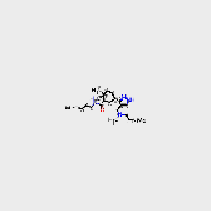 CNCCN(C)Cc1c[nH]nc1[C@H]1CCC(C)(C)[C@@H](C(=O)NCCCOC)C1